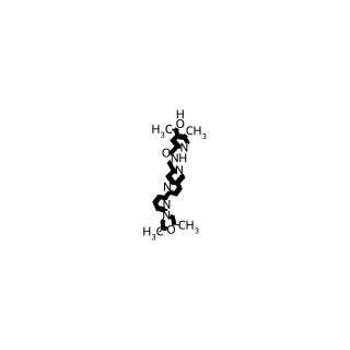 Cc1cnc(C(=O)NCc2cc3nc(-c4cccc(N5C[C@@H](C)O[C@@H](C)C5)n4)ccc3cn2)cc1[C@@H](C)O